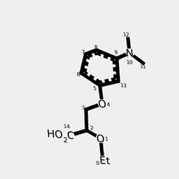 CCOC(COc1cccc(N(C)C)c1)C(=O)O